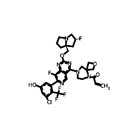 C=CC(=O)N1CCN(c2nc(OC[C@@]34CCCN3C[C@H](F)C4)nc3c(F)c(-c4cc(O)cc(Cl)c4C(F)(F)F)ncc23)CC12COC2